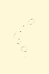 CN(C)c1ccc(C(=O)CCCCC2CCN(Cc3ccccc3)CC2)cc1.O=C(O)/C=C/C(=O)O